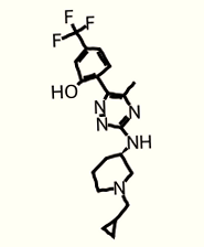 Cc1nc(N[C@@H]2CCCN(CC3CC3)C2)nnc1-c1ccc(C(F)(F)F)cc1O